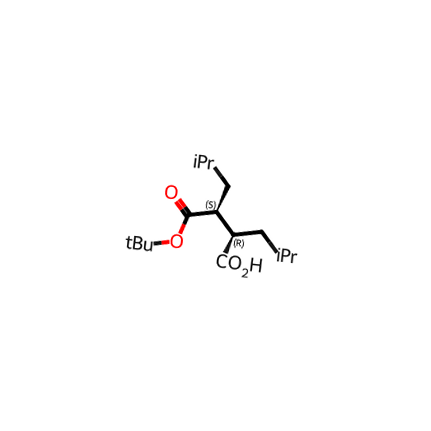 CC(C)C[C@H](C(=O)OC(C)(C)C)[C@@H](CC(C)C)C(=O)O